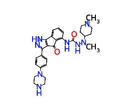 CN1CCC(N(C)NC(=O)Nc2cccc3c2C(=O)c2c(-c4ccc(N5CCNCC5)cc4)n[nH]c2-3)CC1